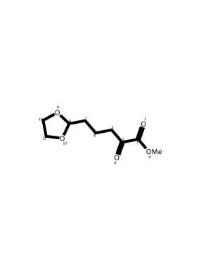 COC(=O)C(=O)CCCC1OCCO1